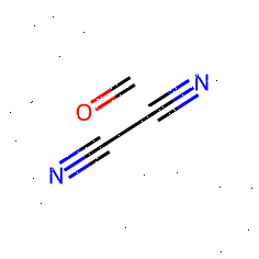 C=O.N#CC#N